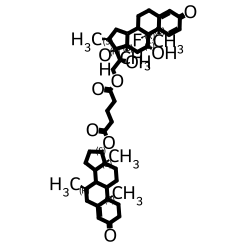 C[C@@H]1CC2=CC(=O)CC[C@]2(C)C2CC[C@@]3(C)C(CC[C@@H]3OC(=O)CCCC(=O)OCC(O)[C@@]3(O)[C@@H](C)CC4C5CCC6=CC(=O)C=C[C@]6(C)[C@@]5(F)[C@@H](O)C[C@@]43C)C21